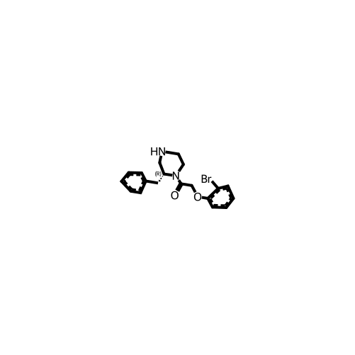 O=C(COc1ccccc1Br)N1CCNC[C@H]1Cc1ccccc1